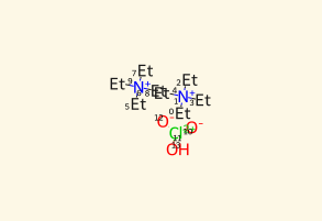 CC[N+](CC)(CC)CC.CC[N+](CC)(CC)CC.[O-][Cl+2]([O-])O